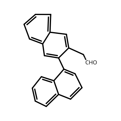 O=CCc1cc2ccccc2cc1-c1cccc2ccccc12